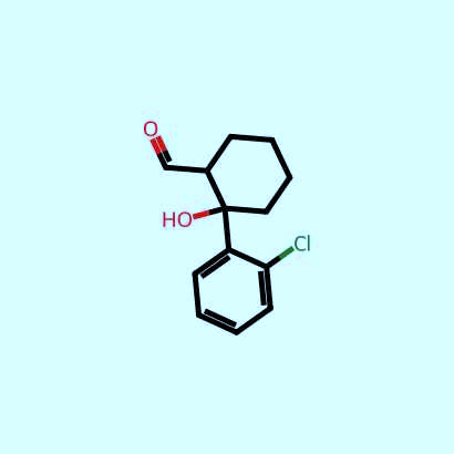 O=CC1CCCCC1(O)c1ccccc1Cl